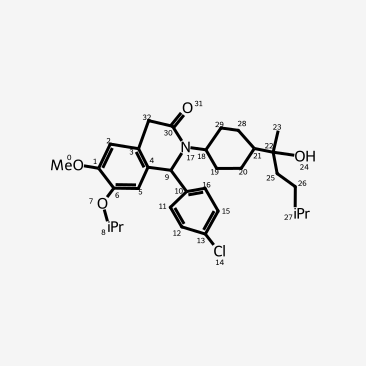 COc1cc2c(cc1OC(C)C)C(c1ccc(Cl)cc1)N(C1CCC(C(C)(O)CCC(C)C)CC1)C(=O)C2